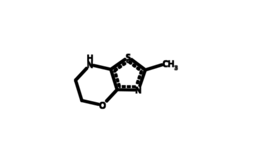 Cc1nc2c(s1)NCCO2